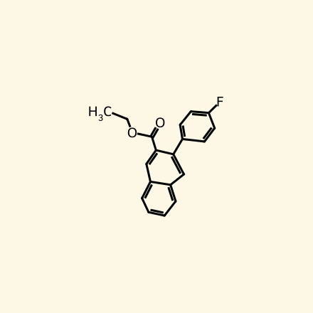 CCOC(=O)c1cc2ccccc2cc1-c1ccc(F)cc1